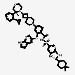 CC1(C)CCC(CNc2ncc(S(=O)(=O)NC(=O)c3ccc(N4CCC5(CC4)CC(N4CCOC[C@@]4(C)c4ccccc4C4CC4)C5)cc3Oc3cnc4[nH]ccc4c3)cc2[N+](=O)[O-])CC1